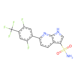 NS(=O)(=O)c1c[nH]c2nc(-c3cc(F)c(C(F)(F)F)cc3F)ccc12